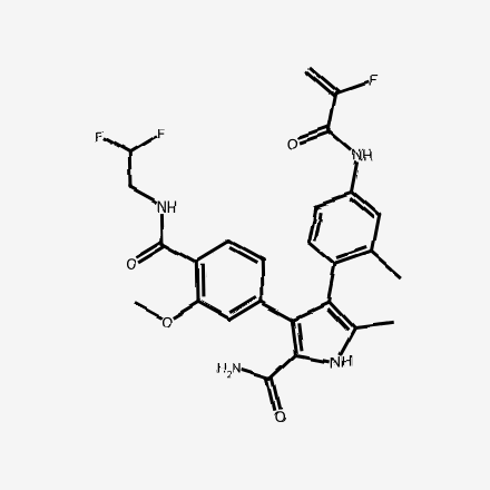 C=C(F)C(=O)Nc1ccc(-c2c(C)[nH]c(C(N)=O)c2-c2ccc(C(=O)NCC(F)F)c(OC)c2)c(C)c1